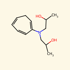 CC(O)CN(CC(C)O)C1=CCC=CC=C1